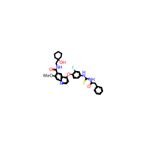 COc1cc2nccc(Oc3ccc(NC(=S)NC(=O)Cc4ccccc4)cc3F)c2cc1C(=O)NCC1(O)CCCCC1